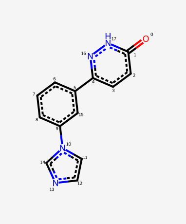 O=c1ccc(-c2cccc(-n3ccnc3)c2)n[nH]1